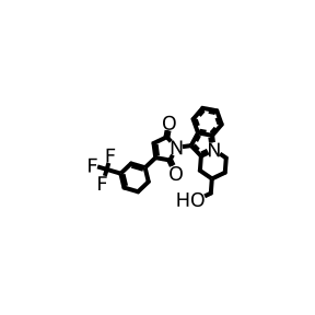 O=C1C=C(C2=CC(C(F)(F)F)=CCC2)C(=O)N1c1c2n(c3ccccc13)CCC(CO)C2